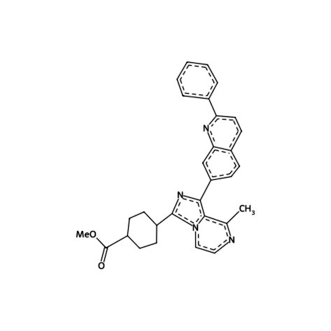 COC(=O)C1CCC(c2nc(-c3ccc4ccc(-c5ccccc5)nc4c3)c3c(C)nccn23)CC1